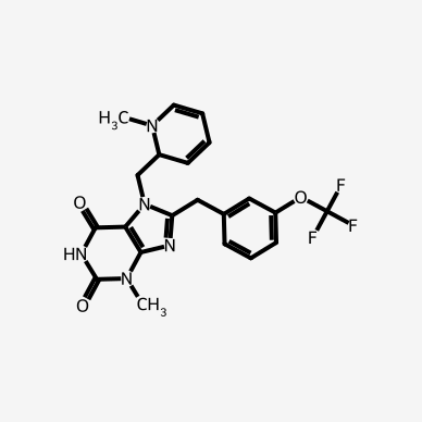 CN1C=CC=CC1Cn1c(Cc2cccc(OC(F)(F)F)c2)nc2c1c(=O)[nH]c(=O)n2C